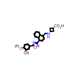 CC(C)Oc1ccc(-c2nc(-c3ccc(CN[C@H]4C[C@@H](C(=O)O)C4)c4ccccc34)no2)cc1C#N